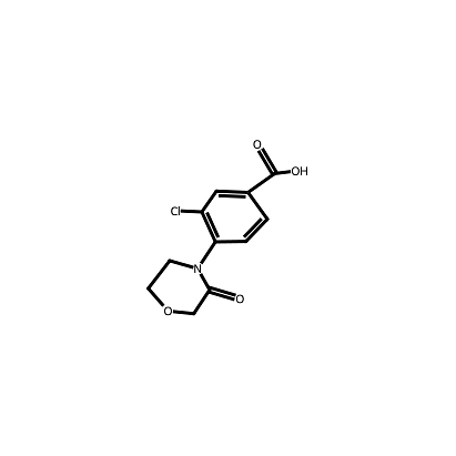 O=C(O)c1ccc(N2CCOCC2=O)c(Cl)c1